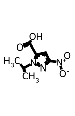 CC(C)n1nc([N+](=O)[O-])cc1C(=O)O